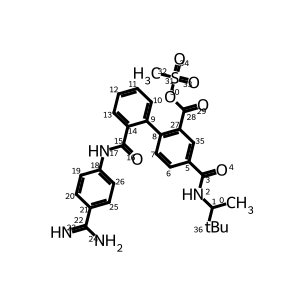 CC(NC(=O)c1ccc(-c2ccccc2C(=O)Nc2ccc(C(=N)N)cc2)c(C(=O)OS(C)(=O)=O)c1)C(C)(C)C